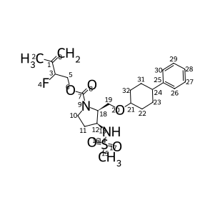 C=C(C)C(F)COC(=O)N1CC[C@H](NS(C)(=O)=O)[C@@H]1COC1CCC(c2ccccc2)CC1